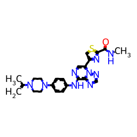 C=C(C)N1CCN(c2ccc(Nc3ncc(-c4csc(C(=O)NC)n4)n4ncnc34)cc2)CC1